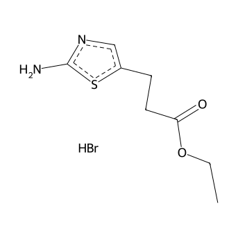 Br.CCOC(=O)CCc1cnc(N)s1